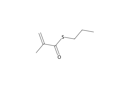 C=C(C)C(=O)SCCC